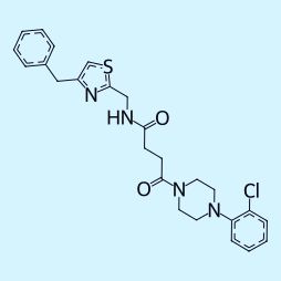 O=C(CCC(=O)N1CCN(c2ccccc2Cl)CC1)NCc1nc(Cc2ccccc2)cs1